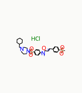 CN(C(=O)/C=C/c1ccc(S(C)(=O)=O)cc1)c1ccc(S(=O)(=O)N2CCCN(CC3CCCCC3)CC2)cc1.Cl